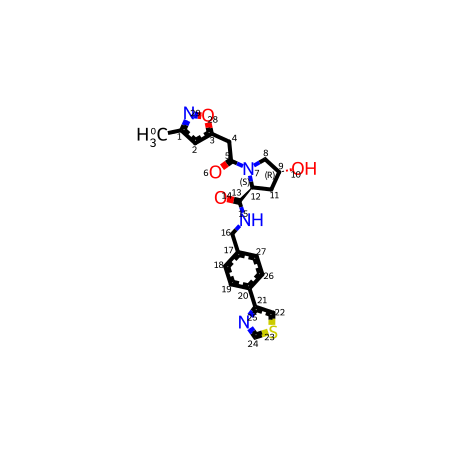 Cc1cc(CC(=O)N2C[C@H](O)C[C@H]2C(=O)NCc2ccc(-c3cscn3)cc2)on1